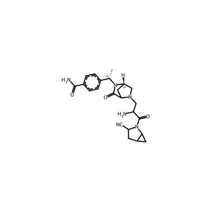 C[C@@H](c1ccc(C(N)=O)cc1)N1C(=O)C2C[C@H]1CN2CC(N)C(=O)N1C(C#N)CC2CC21